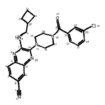 N#Cc1ccc2nc(NCC3CCC3)c(N3CCN(C(=O)c4cccc(Cl)c4)CC3)nc2c1